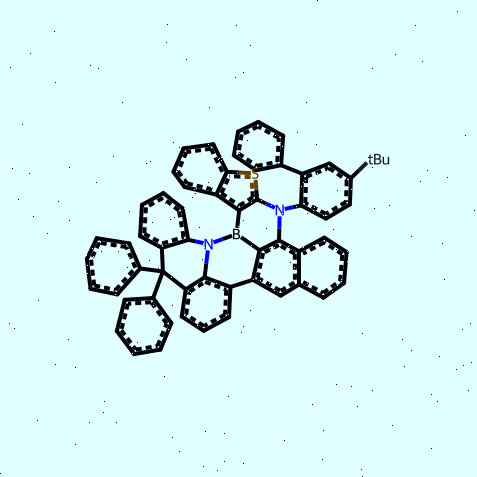 CC(C)(C)c1ccc(N2c3sc4ccccc4c3B3c4c(cc5ccccc5c42)-c2cccc4c2N3c2ccccc2C4(c2ccccc2)c2ccccc2)c(-c2ccccc2)c1